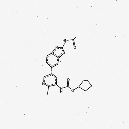 CC(=O)Nc1nc2ccc(-c3cnc(C)c(NC(=O)OC4CCCC4)c3)cc2s1